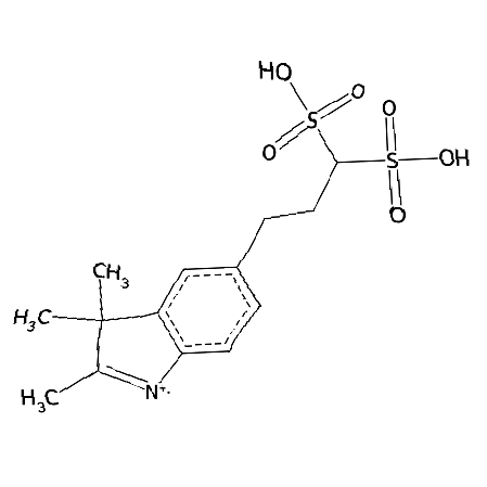 CC1=[N+]c2ccc(CCC(S(=O)(=O)O)S(=O)(=O)O)cc2C1(C)C